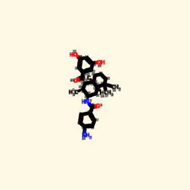 C[C@@H]1[C@H](NC(=O)c2ccc(N)cc2)C[C@H]2C(C)(C)CCC[C@]2(C)[C@H]1C(=O)c1cc(O)cc(O)c1